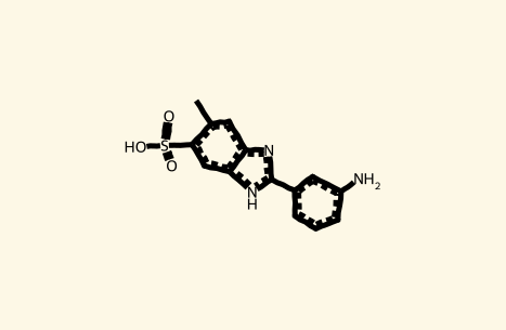 Cc1cc2nc(-c3cccc(N)c3)[nH]c2cc1S(=O)(=O)O